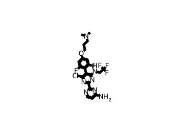 CN(C)CCCOc1cc(F)c(-c2c(Cl)nc(-c3nccc(N)n3)nc2NCC(F)(F)F)c(F)c1